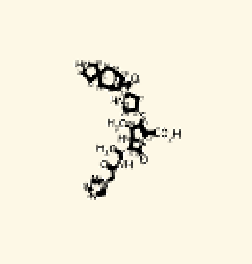 CC(NC(=O)Cn1cnnn1)[C@H]1C(=O)N2C(C(=O)O)=C(S[C@@H]3CN[C@H](C(=O)N4C5CCC4CC4(CCNC4)C5)C3)[C@H](C)[C@H]12